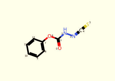 O=C(NN=C=S)Oc1ccccc1